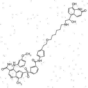 COc1cccc(Nc2c(C(N)=O)cnc3c(C)cc(S(=O)(=O)c4cccc(C(=O)Nc5ccc(CCOCCCCCCNCC(O)c6ccc(O)c7[nH]c(=O)ccc67)cc5)c4)cc23)c1